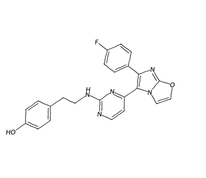 Oc1ccc(CCNc2nccc(-c3c(-c4ccc(F)cc4)nc4occn34)n2)cc1